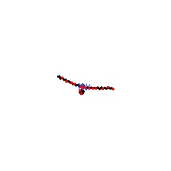 CCCCCCCCCCCCCCCCC[n+]1ccn(CCCCCCCCCCCCCCC)c1-c1ccccc1